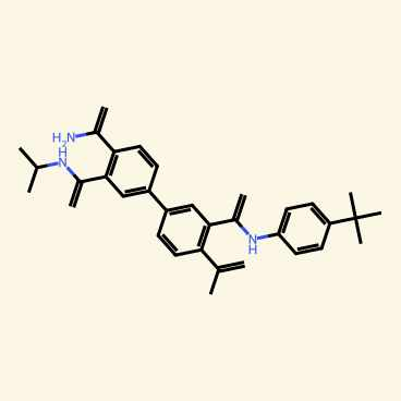 C=C(C)c1ccc(-c2ccc(C(=C)N)c(C(=C)NC(C)C)c2)cc1C(=C)Nc1ccc(C(C)(C)C)cc1